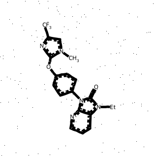 CCn1c(=O)n(-c2ccc(Oc3nc(C(F)(F)F)cn3C)cc2)c2ncccc21